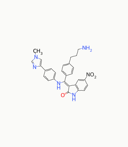 Cn1cnc(-c2ccc(N/C(=C3\C(=O)Nc4ccc([N+](=O)[O-])cc43)c3ccc(CCCN)cc3)cc2)c1